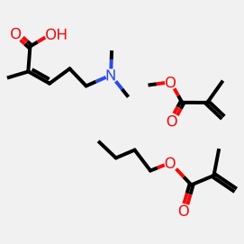 C=C(C)C(=O)OC.C=C(C)C(=O)OCCCC.CC(=CCCN(C)C)C(=O)O